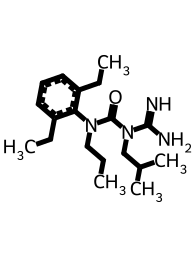 CCCN(C(=O)N(CC(C)C)C(=N)N)c1c(CC)cccc1CC